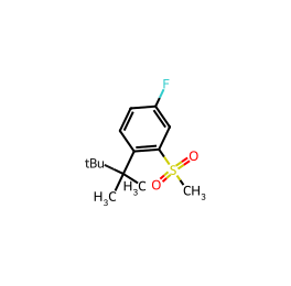 CC(C)(C)C(C)(C)c1ccc(F)cc1S(C)(=O)=O